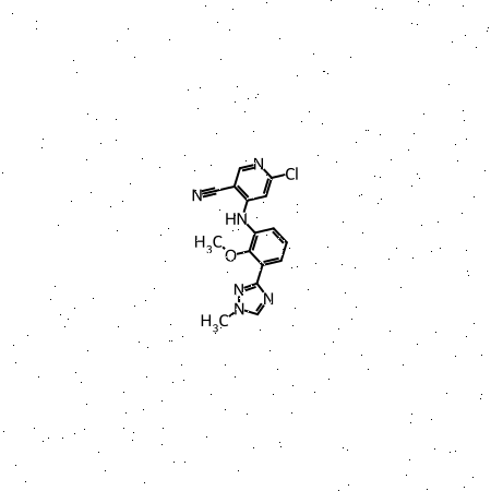 COc1c(Nc2cc(Cl)ncc2C#N)cccc1-c1ncn(C)n1